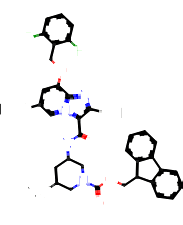 Cc1cc(OCc2c(F)cccc2F)c2nc(C)c(C(=O)NC3CC(C#N)CN(C(=O)OCC4c5ccccc5-c5ccccc54)C3)n2c1